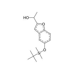 CC(O)c1cc2cc(O[Si](C)(C)C(C)(C)C)ccc2o1